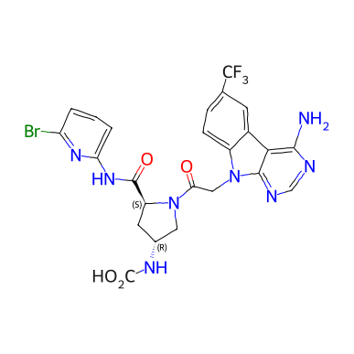 Nc1ncnc2c1c1cc(C(F)(F)F)ccc1n2CC(=O)N1C[C@H](NC(=O)O)C[C@H]1C(=O)Nc1cccc(Br)n1